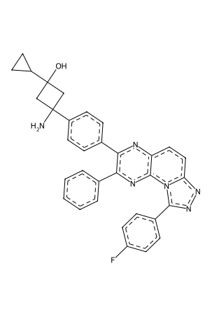 NC1(c2ccc(-c3nc4ccc5nnc(-c6ccc(F)cc6)n5c4nc3-c3ccccc3)cc2)CC(O)(C2CC2)C1